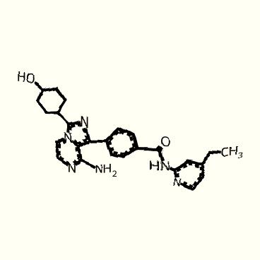 CCc1ccnc(NC(=O)c2ccc(-c3nc(C4CCC(O)CC4)n4ccnc(N)c34)cc2)c1